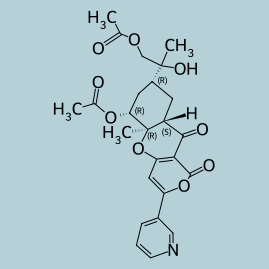 CC(=O)OCC(C)(O)[C@@H]1C[C@@H]2C(=O)c3c(cc(-c4cccnc4)oc3=O)O[C@@]2(C)[C@H](OC(C)=O)C1